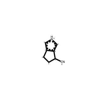 N#CC1CCc2c[nH]cc21